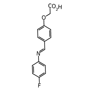 O=C(O)COc1ccc(/C=N/c2ccc(F)cc2)cc1